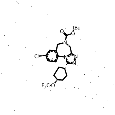 CC(C)(C)OC(=O)N1Cc2cc(Cl)ccc2-n2c(nnc2[C@H]2CC[C@H](OC(F)(F)F)CC2)C1